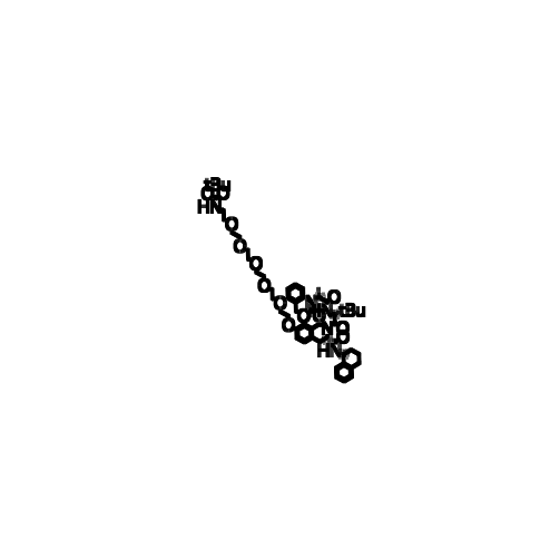 C[C@@H](C(=O)N[C@H](C(=O)N1Cc2cc(OCCOCCOCCOCCOCCOCCNC(=O)OC(C)(C)C)ccc2C[C@H]1C(=O)N[C@@H]1CCCc2ccccc21)C(C)(C)C)N(C)C(=O)OCc1ccccc1